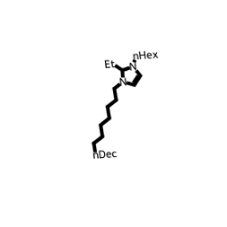 CCCCCCCCCCCCCCCCCN1C=CN(CCCCCC)C1CC